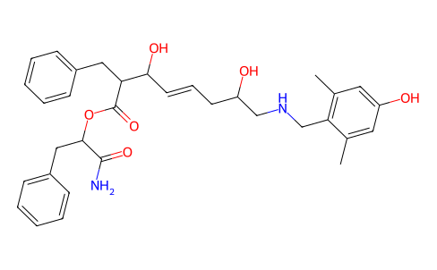 Cc1cc(O)cc(C)c1CNCC(O)CC=CC(O)C(Cc1ccccc1)C(=O)OC(Cc1ccccc1)C(N)=O